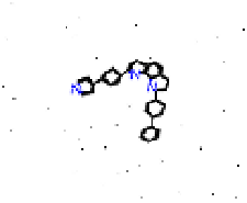 c1ccc(-c2ccc(-c3ccc4ccc5ccc(-c6ccc(-c7ccncc7)cc6)nc5c4n3)cc2)cc1